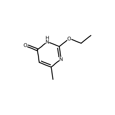 CCOc1nc(C)cc(=O)[nH]1